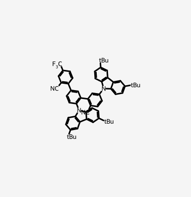 CC(C)(C)c1ccc2c(c1)c1cc(C(C)(C)C)ccc1n2-c1ccc(C#N)c(-c2cc(-c3ccc(C(F)(F)F)cc3C#N)ccc2-n2c3ccc(C(C)(C)C)cc3c3cc(C(C)(C)C)ccc32)c1